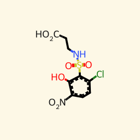 O=C(O)CCNS(=O)(=O)c1c(Cl)ccc([N+](=O)[O-])c1O